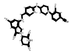 N#Cc1ccc(N2CCC(Sc3ccc(COc4cc(F)cc5c4CN([C@H]4CCC(=O)NC4=O)C5=O)cn3)CC2)c(F)c1